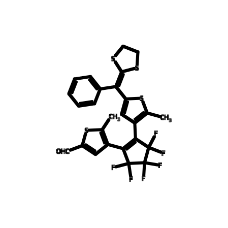 Cc1sc(C=O)cc1C1=C(c2cc(C(=C3SCCS3)c3ccccc3)sc2C)C(F)(F)C(F)(F)C1(F)F